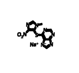 Cn1cnc([N+](=O)[O-])c1Sc1ncnc2nc[n-]c12.[Na+]